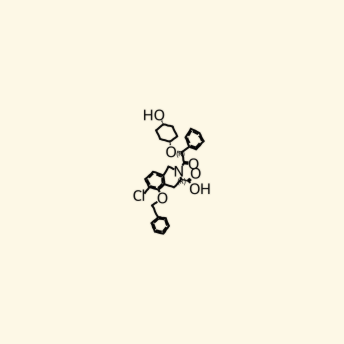 O=C(O)[C@H]1Cc2c(ccc(Cl)c2OCc2ccccc2)CN1C(=O)[C@H](O[C@H]1CC[C@@H](O)CC1)c1ccccc1